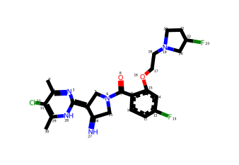 CC1=N/C(=C2\CN(C(=O)c3ccc(F)cc3OCCN3CCC(F)C3)CC2=N)NC(C)=C1Cl